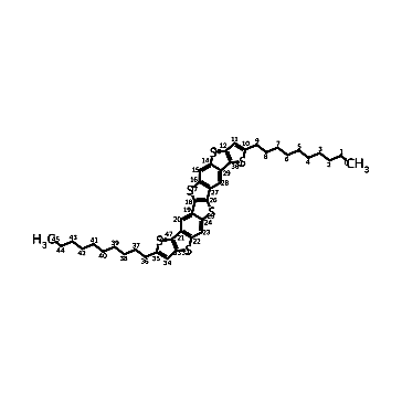 CCCCCCCCCCc1cc2sc3cc4sc5c6cc7c(cc6sc5c4cc3c2s1)sc1cc(CCCCCCCCCC)sc17